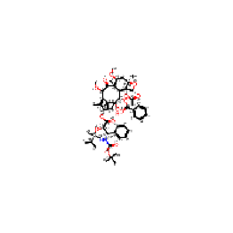 CO[C@H]1C(=O)[C@@]2(C)C([C@H](OC(=O)c3ccccc3)[C@]3(O)C[C@H](OC(=O)[C@H](O[Si](C)(C)C(C)C)[C@@H](NC(=O)OC(C)(C)C)c4ccccc4)C(C)=C1C3(C)C)[C@]1(OC(C)=O)CO[C@@H]1C[C@@H]2OC